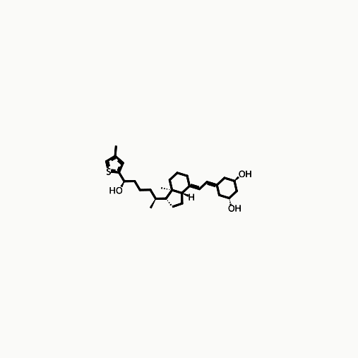 Cc1csc([C@H](O)CCC[C@H](C)[C@H]2CC[C@H]3/C(=C/C=C4C[C@@H](O)C[C@H](O)C4)CCC[C@]23C)c1